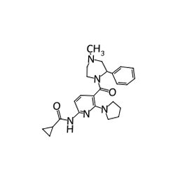 CN1CCN(C(=O)c2ccc(NC(=O)C3CC3)nc2N2CCCC2)C(c2ccccc2)C1